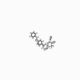 CC1(C)CC2(C=C(C#N)C1=O)CN(c1ccc(OCc3ccccc3)nc1)CCO2